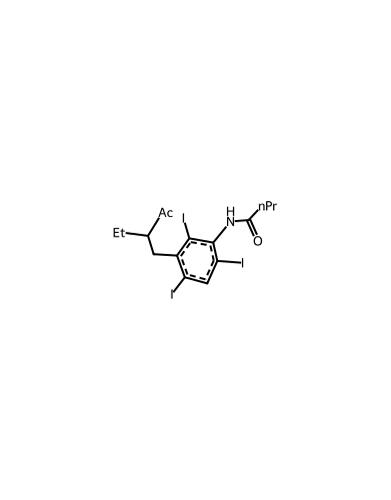 CCCC(=O)Nc1c(I)cc(I)c(CC(CC)C(C)=O)c1I